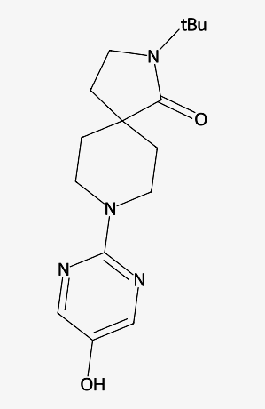 CC(C)(C)N1CCC2(CCN(c3ncc(O)cn3)CC2)C1=O